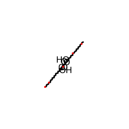 CCCCCCCCCCCCCCCCCC(O)OC(=O)/C=C/C(=O)OC(O)CCCCCCCCCCCCCCCCC